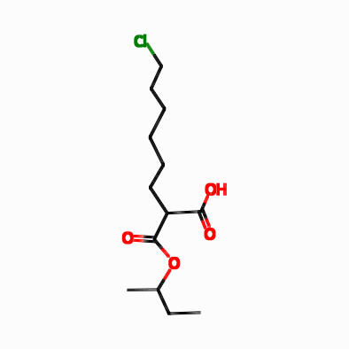 CCC(C)OC(=O)C(CCCCCCCl)C(=O)O